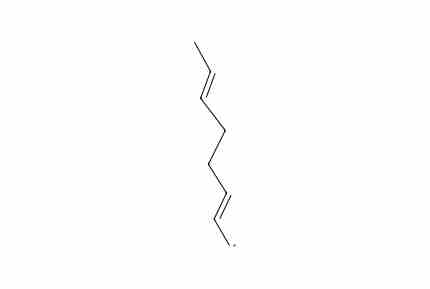 [CH2]/C=C/CC/C=C/C